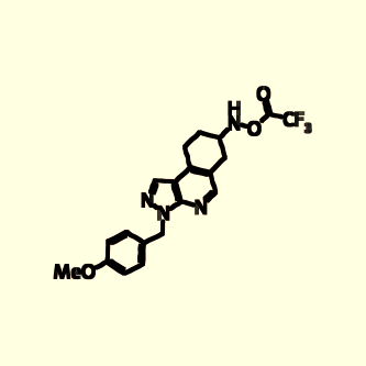 COc1ccc(Cn2ncc3c4c(cnc32)CC(NOC(=O)C(F)(F)F)CC4)cc1